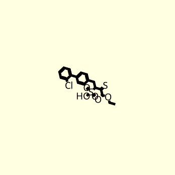 CCOC(=O)C(=S)C(Cc1ccc(-c2ccccc2Cl)cc1)S(=O)(=O)O